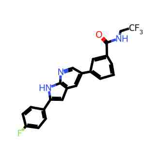 O=C(NCC(F)(F)F)c1cccc(-c2cnc3[nH]c(-c4ccc(F)cc4)cc3c2)c1